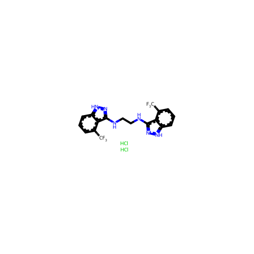 Cl.Cl.FC(F)(F)c1cccc2[nH]nc(NCCNc3n[nH]c4cccc(C(F)(F)F)c34)c12